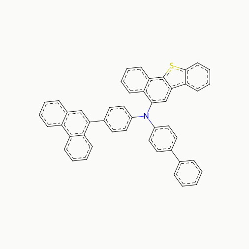 c1ccc(-c2ccc(N(c3ccc(-c4cc5ccccc5c5ccccc45)cc3)c3cc4c5ccccc5sc4c4ccccc34)cc2)cc1